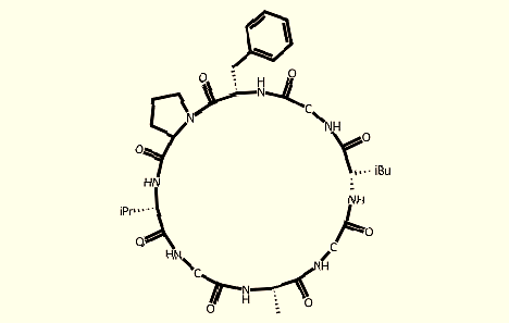 CC[C@@H](C)[C@@H]1NC(=O)CNC(=O)[C@H](C)NC(=O)CNC(=O)[C@H](C(C)C)NC(=O)C2CCCN2C(=O)[C@H](Cc2ccccc2)NC(=O)CNC1=O